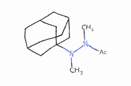 CC(=O)N(C)N(C)C12CC3CC(CC(C3)C1)C2